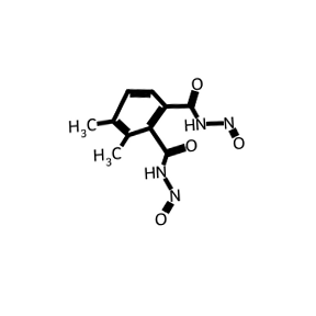 Cc1ccc(C(=O)NN=O)c(C(=O)NN=O)c1C